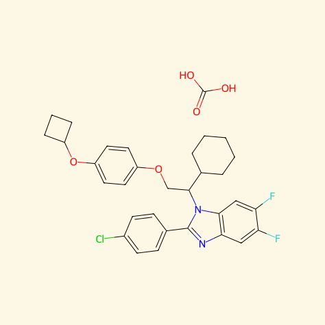 Fc1cc2nc(-c3ccc(Cl)cc3)n(C(COc3ccc(OC4CCC4)cc3)C3CCCCC3)c2cc1F.O=C(O)O